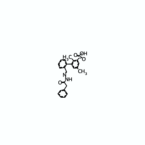 Cc1cc(-c2ccccc2C=NNC(=O)Cc2ccccc2)c(C)c(S(=O)(=O)O)c1